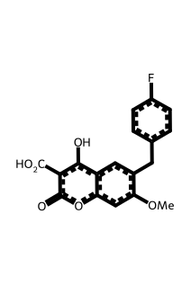 COc1cc2oc(=O)c(C(=O)O)c(O)c2cc1Cc1ccc(F)cc1